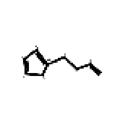 C=CCCC1=CC=CC1